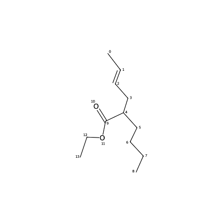 C/C=C/CC(CCCC)C(=O)OCC